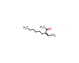 CC=C(CCCCCC)C(C)=O